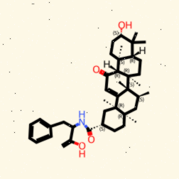 C=C(O)C(Cc1ccccc1)NC(=O)[C@H]1CC[C@]2(C)C[C@H](C)[C@]3(C)C(=CC(=O)[C@@H]4[C@@]5(C)CC[C@H](O)C(C)(C)[C@@H]5CC[C@]43C)[C@]2(C)C1